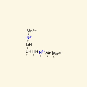 [LiH].[LiH].[LiH].[Mn+2].[Mn+2].[Mn+2].[N-3].[N-3]